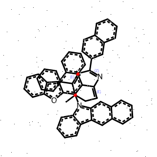 CC1C/C=C(c2c(-n3c4ccccc4c4cc5ccccc5cc43)c3oc4ccccc4c3c3ccccc23)/N=C(c2ccc3ccccc3c2)\N=C/1c1ccccc1